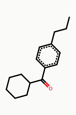 CCCc1ccc(C(=O)C2CCCCC2)cc1